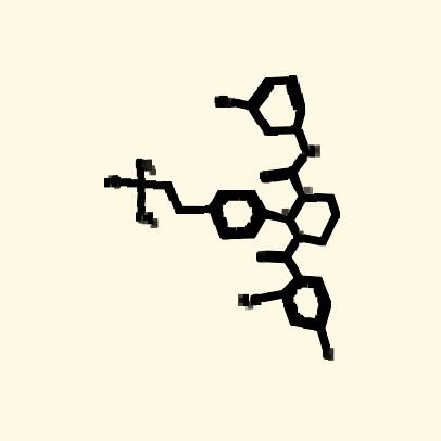 Cc1cc(Cl)ccc1C(=O)N1CCC[C@H](C(=O)NC2C=CC=C(C(C)(C)C)C2)[C@@H]1c1ccc(CCC(C)(C)O)cc1